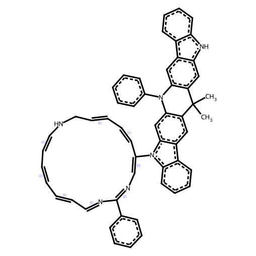 CC1(C)c2cc3[nH]c4ccccc4c3cc2N(c2ccccc2)c2cc3c(cc21)c1ccccc1n3C1=C/N=C(c2ccccc2)\N=C\C=C\C=C/C=C\NC/C=C/C=C\1